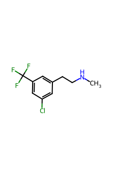 CNCCc1cc(Cl)cc(C(F)(F)F)c1